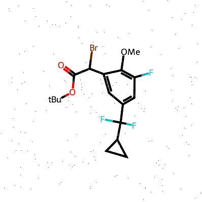 COc1c(F)cc(C(F)(F)C2CC2)cc1C(Br)C(=O)OC(C)(C)C